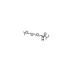 CCC(C)C(=O)NCCOCCOCCOC(C)C